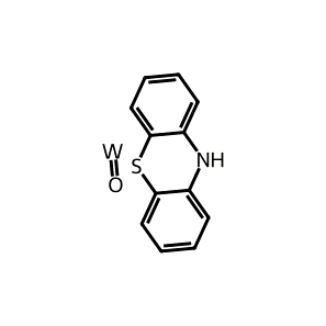 [O]=[W].c1ccc2c(c1)Nc1ccccc1S2